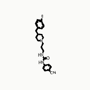 N#Cc1ccc(NC(=O)NCCCN2CCC(Cc3ccc(F)cc3)CC2)cc1